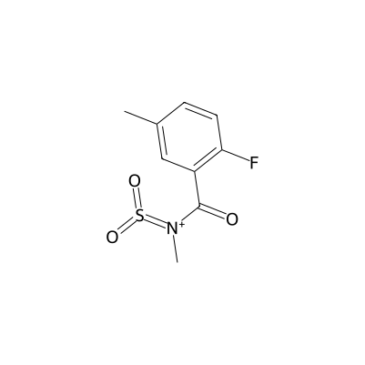 Cc1ccc(F)c(C(=O)[N+](C)=S(=O)=O)c1